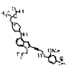 CCC(=O)OC(C)CN1CCC(Nc2cccc3c2cc(C#CCNc2ccc(S(N)(=O)=O)cc2OC)n3CC(F)(F)F)CC1